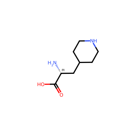 N[C@H](CC1CCNCC1)C(=O)O